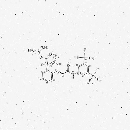 CC(C)OC(=O)[N@+]1(F)c2ccccc2[C@H](CC(=O)Nc2cc(C(F)(F)F)cc(C(F)(F)F)c2)C[C@H]1C